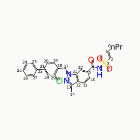 CCCC=CS(=O)(=O)NC(=O)c1ccc2c(C)nn(Cc3ccc(-c4ccccc4)cc3Cl)c2c1